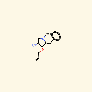 C=CCO[C@@H]1C(Cc2ccccc2)N(C(=O)O)C[C@@H]1N